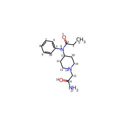 CCC(=O)N(c1ccccc1)C1CCN(CC(N)=O)CC1